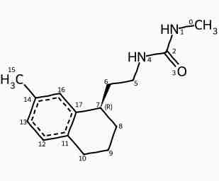 CNC(=O)NCC[C@H]1CCCc2ccc(C)cc21